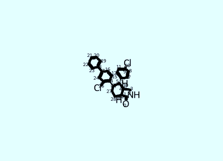 O=C1NC[C@H]2[C@@H](c3ccc(Cl)cc3)[C@H](c3ccc(-c4ccccc4)cc3Cl)CC[C@@H]12